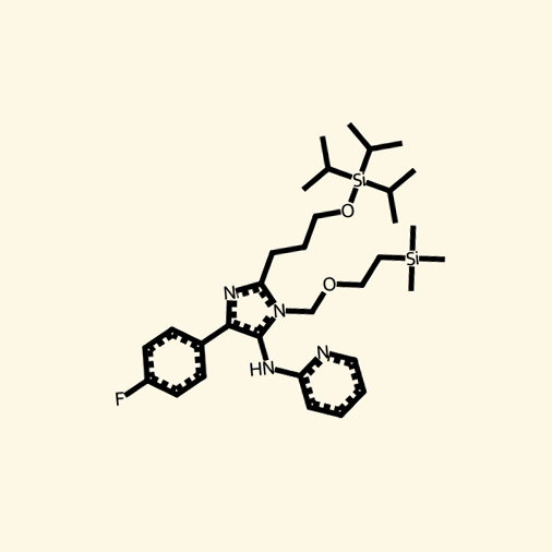 CC(C)[Si](OCCCc1nc(-c2ccc(F)cc2)c(Nc2ccccn2)n1COCC[Si](C)(C)C)(C(C)C)C(C)C